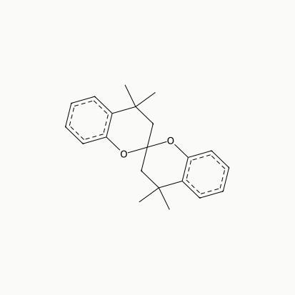 CC1(C)CC2(CC(C)(C)c3ccccc3O2)Oc2ccccc21